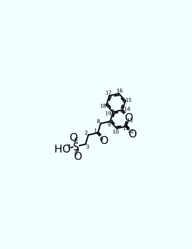 O=C(CCS(=O)(=O)O)Cc1cc(=O)oc2ccccc12